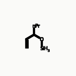 C=CC(CCC)O[SiH3]